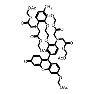 CC(=O)OCOC(=O)CN(CC(=O)OCOC(C)=O)c1ccc(C)cc1OCCOc1cc(-c2c3ccc(=O)cc-3oc3cc(OCOC(C)=O)ccc23)ccc1N(CC(=O)OCOC(C)=O)CC(=O)OCOC(C)=O